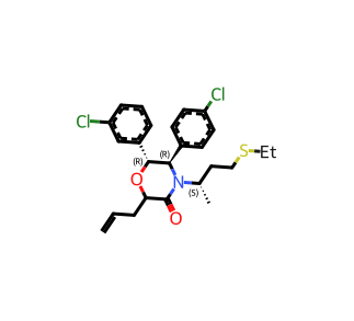 C=CCC1O[C@H](c2cccc(Cl)c2)[C@@H](c2ccc(Cl)cc2)N([C@@H](C)CCSCC)C1=O